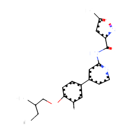 Cc1cc(C(=O)Nc2cc(-c3ccc(OCC(C)CC(C)C)c(C(F)(F)F)c3)ccn2)no1